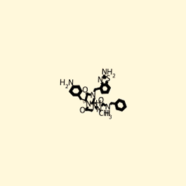 CN(C(=O)NCc1ccccc1)N1CC(=O)N2[C@@H](Cc3ccc(N)cc3)C(=O)N(Cc3cccc4sc(N)nc34)C[C@@H]21